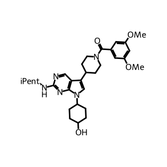 CCC[C@H](C)Nc1ncc2c(C3CCN(C(=O)c4cc(OC)cc(OC)c4)CC3)cn(C3CCC(O)CC3)c2n1